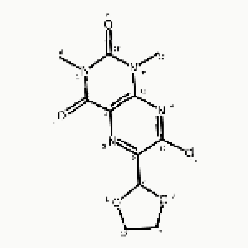 Cn1c(=O)c2nc(C3OCCO3)c(Cl)nc2n(C)c1=O